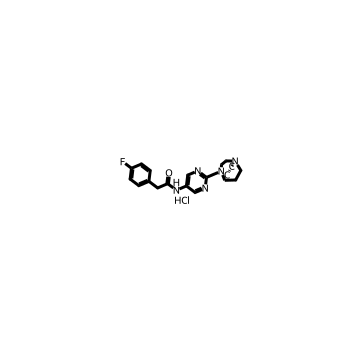 Cl.O=C(Cc1ccc(F)cc1)Nc1cnc(N2CCN3CCC2CC3)nc1